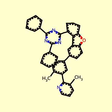 Cc1ccc(-c2ccc3oc4cccc(-c5nc(-c6ccccc6)nc(-c6ccccc6)n5)c4c3c2)cc1-c1ncccc1C